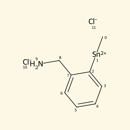 [CH3][Sn+2][c]1ccccc1CN.[Cl-].[Cl-]